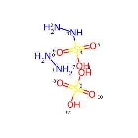 NN.NNS(=O)(=O)O.O=S(=O)(O)O